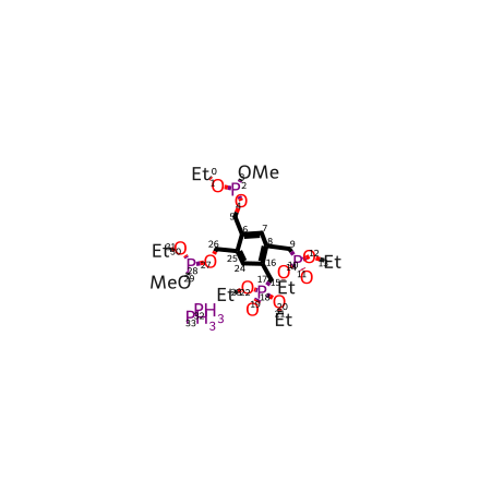 CCOP(OC)OCc1cc(CP(=O)(OCC)OCC)c(CP(=O)(OCC)OCC)cc1COP(OC)OCC.P.P